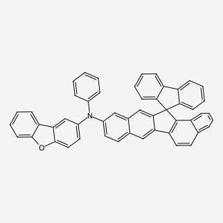 c1ccc(N(c2ccc3cc4c(cc3c2)C2(c3ccccc3-c3ccccc32)c2c-4ccc3ccccc23)c2ccc3oc4ccccc4c3c2)cc1